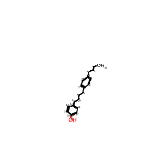 CCCCc1ccc(CCCCc2ccc(O)cc2)cc1